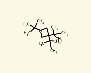 CC(C)(C)N1CC(C(C)(C)C)(C(C)(C)C)C1